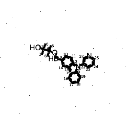 CC(C)(O)C(C)(C)OBc1ccc2c(c1)c1ccccc1n2-c1cccnc1